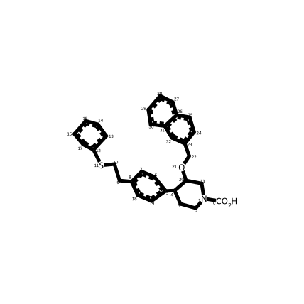 O=C(O)N1CCC(c2ccc(CCSc3ccccc3)cc2)C(OCc2ccc3ccccc3c2)C1